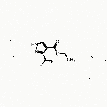 CCOC(=O)c1c[nH]nc1C(F)F